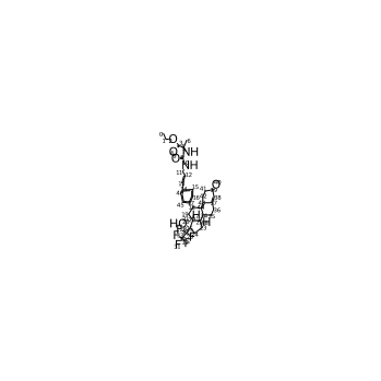 CCOC(=O)C(C)NC(=O)NCC=Cc1ccc([C@H]2C[C@@]3(C)[C@@H](CC[C@@]3(O)C(F)(F)C(F)(F)F)[C@@H]3CCC4=CC(=O)CCC4=C32)cc1